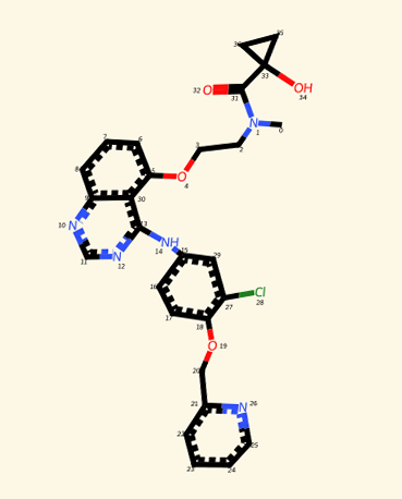 CN(CCOc1cccc2ncnc(Nc3ccc(OCc4ccccn4)c(Cl)c3)c12)C(=O)C1(O)CC1